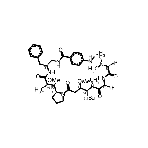 CC[C@H](C)[C@@H]([C@@H](CC(=O)N1CCC[C@H]1[C@H](OC)[C@@H](C)C(=O)N[C@H](CNC(=O)c1ccc(NC(C)C)cc1)Cc1ccccc1)OC)N(C)C(=O)[C@@H](NC(=O)[C@H](C(C)C)N(C)C)C(C)C